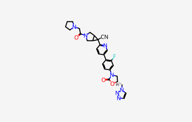 N#CC1(c2ccc(-c3ccc(N4C[C@H](Cn5ccnn5)OC4=O)cc3F)cn2)C2CN(C(=O)CN3CCCC3)CC21